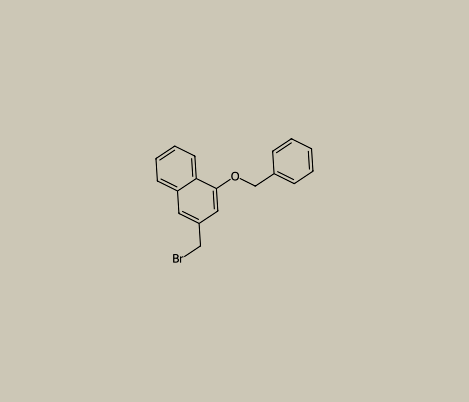 BrCc1cc(OCc2ccccc2)c2ccccc2c1